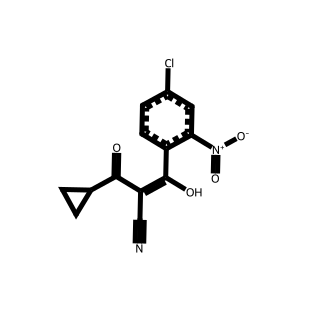 N#CC(C(=O)C1CC1)=C(O)c1ccc(Cl)cc1[N+](=O)[O-]